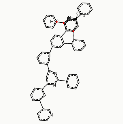 Cc1ccc(-c2ccc(-c3cccc(-c4cc(-c5cccc(-c6cccnc6)c5)nc(-c5ccccc5)n4)c3)cc2-c2ccccc2-c2cc(-c3ccccc3)nc(-c3ccccc3)n2)c(C)n1